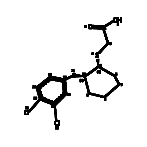 O=C(O)CS[C@@H]1CCCC[C@H]1Sc1ccc(Cl)c(Cl)c1